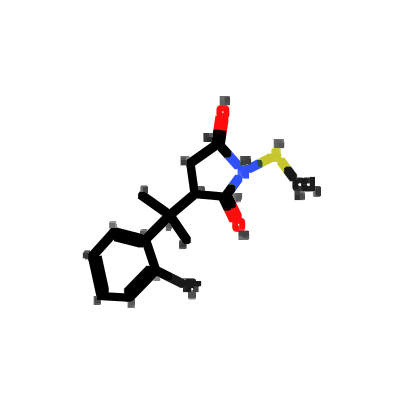 CC(C)c1ccccc1C(C)(C)C1CC(=O)N(SC(Cl)(Cl)Cl)C1=O